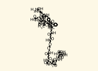 Cc1ccccc1NC(=O)Nc1ccc(CC(=O)N[C@@H](CCCNC(N)O)C(=O)N[C@@H](CCC(=O)O)C(=O)N[C@@H](CO)C(=O)N[C@H](C(=O)NCCOCCOCCNC(=O)CCC(=O)NCCOCCOCCNC(=O)CCC(=O)N[C@H](CSC2CC(=O)N(CC(=O)NCCCC(O)(P(=O)(O)O)P(=O)(O)O)C2=O)C(N)=O)C(C)C)cc1